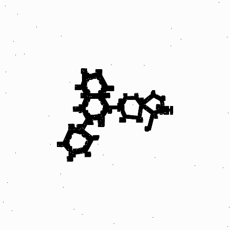 CC1NCCC12CCN(c1nc(-c3ccncc3)nc3cnccc13)CC2